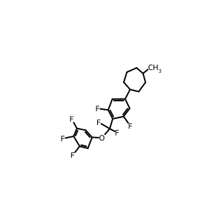 CC1CCCC(c2cc(F)c(C(F)(F)Oc3cc(F)c(F)c(F)c3)c(F)c2)CC1